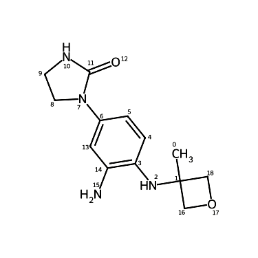 CC1(Nc2ccc(N3CCNC3=O)cc2N)COC1